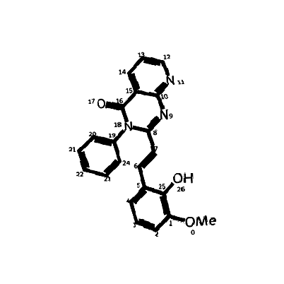 COc1cccc(/C=C/c2nc3ncccc3c(=O)n2-c2ccccc2)c1O